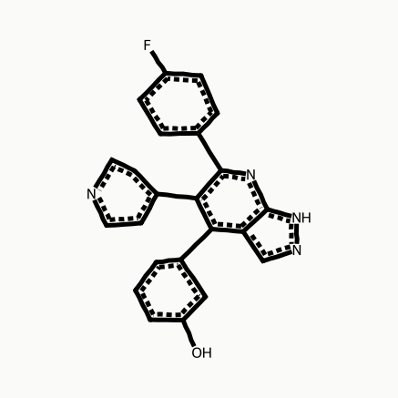 Oc1cccc(-c2c(-c3ccncc3)c(-c3ccc(F)cc3)nc3[nH]ncc23)c1